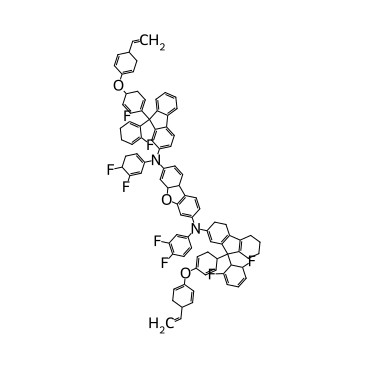 C=CC1C=CC(OC2=CCC(C3(C4C(F)=CC=CC4F)C4=C(CCC(N(c5ccc(F)c(F)c5)c5ccc6c(c5)OC5C=C(N(C7=CCC(F)C(F)=C7)c7ccc8c(c7)C(C7=CCC(OC9=CCC(C=C)C=C9)C=C7)(C7=C(F)CCC=C7F)c7ccccc7-8)C=CC65)=C4)C4=C3CCCC4)C=C2)=CC1